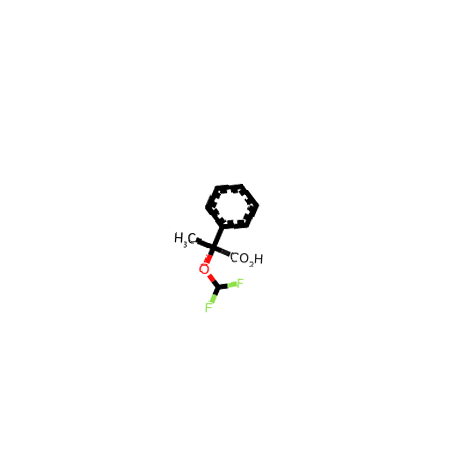 CC(OC(F)F)(C(=O)O)c1ccccc1